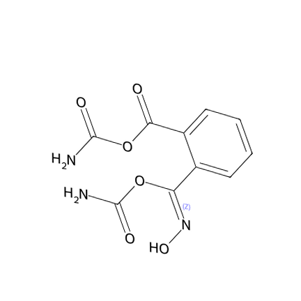 NC(=O)OC(=O)c1ccccc1/C(=N/O)OC(N)=O